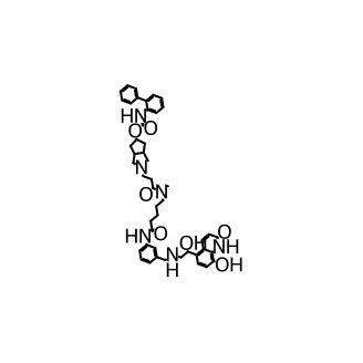 CN(CCCCC(=O)Nc1cccc(CNC[C@H](O)c2ccc(O)c3[nH]c(=O)ccc23)c1)C(=O)CCN1CC2CC(OC(=O)Nc3ccccc3-c3ccccc3)CC2C1